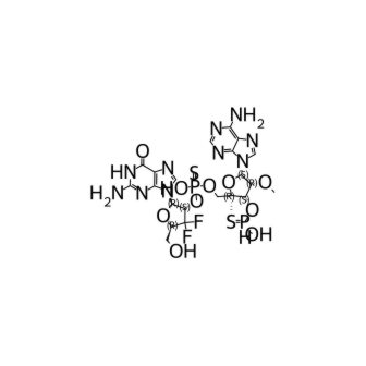 CO[C@H]1[C@@H](n2cnc3c(N)ncnc32)O[C@](C)(COP(O)(=S)O[C@H]2[C@H](n3cnc4c(=O)[nH]c(N)nc43)O[C@H](CO)C2(F)F)[C@H]1O[PH](O)=S